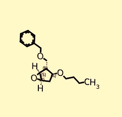 CCCCO[C@H]1C[C@H]2O[C@H]2[C@@H]1COCc1ccccc1